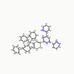 C1=C(c2nc(-c3ccccn3)cc(-c3ccccn3)n2)CCC2=C1C(c1ccccc1)(c1ccccc1)c1cc(-c3ccccc3)ccc12